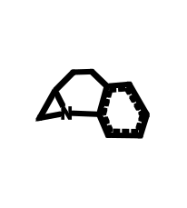 c1ccc2c(c1)CCC1CN21